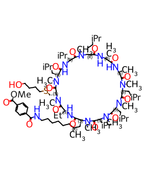 CC[C@@H]1NC(=O)[C@H](C[C@H](C)CCCCCCNC(=O)c2ccc(C(=O)OC)cc2)N(C)C(=O)[C@H](C(C)C)N(C)C(=O)[C@H](CC(C)C)N(C)C(=O)[C@H](CC(C)C)N(C)C(=O)[C@H](C)NC(=O)[C@@H](C)NC(=O)[C@@H](CCC(C)C)N(C)C(=O)[C@@H](C(C)C)NC(=O)[C@H](CC(C)C)N(C)C(=O)[C@@H](CSCCCCO)N(C)C1=O